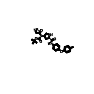 Cc1ccc(Oc2ccc(NC(=O)[C@@H]3C[C@@H](N(C(=O)CN)C(=O)OC(C)(C)C)CN3)cc2)cc1